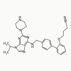 CC(C)n1cnc2c(NCc3ccc(-c4ccccc4OCCCC#N)cc3)nc(N3CCNCC3)nc21